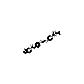 CC(C)c1noc(N2CCC(OCCOc3ccc(CC(=O)N4CCc5ccsc5C4)c(F)c3)CC2)n1